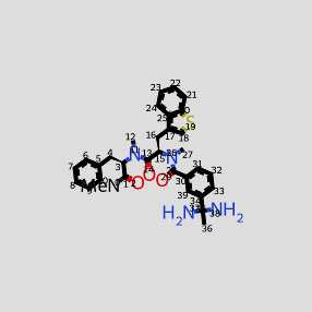 CNC(=O)[C@@H](Cc1ccccc1)N(C)C(=O)[C@@H](Cc1csc2ccccc12)N(C)C(=O)c1cccc(C(C)(N)N)c1